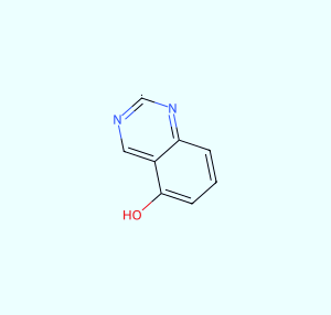 Oc1cccc2n[c]ncc12